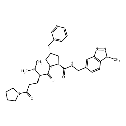 CN(C)[C@H](CCC(=O)N1CCCC1)C(=O)N1C[C@H](Cc2cccnc2)C[C@H]1C(=O)NCc1ccc2c(c1)nnn2C